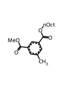 CCCCCCCCOC(=O)c1cc(C)cc(C(=O)OC)c1